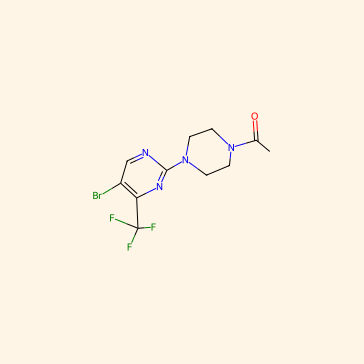 CC(=O)N1CCN(c2ncc(Br)c(C(F)(F)F)n2)CC1